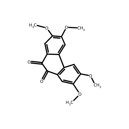 COc1cc2c(cc1OC)-c1cc(OC)c(OC)cc1C(=O)C2=O